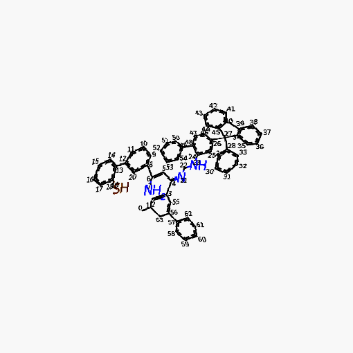 CC1C=C(C(/C=C(\N)c2cccc(-c3ccccc3S)c2)=N/CNc2cc(C3(c4ccccc4)c4ccccc4-c4ccccc43)ccc2-c2ccccc2)C=C(c2ccccc2)C1